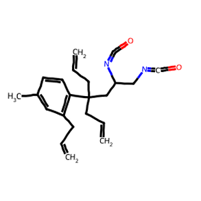 C=CCc1cc(C)ccc1C(CC=C)(CC=C)CC(CN=C=O)N=C=O